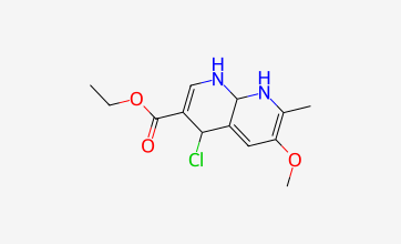 CCOC(=O)C1=CNC2NC(C)=C(OC)C=C2C1Cl